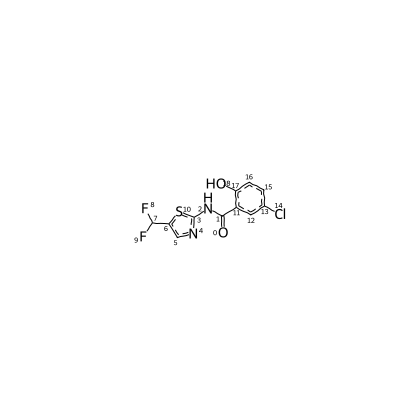 O=C(Nc1ncc(C(F)F)s1)c1cc(Cl)ccc1O